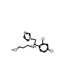 OCCCNC(Cn1ccnc1)c1ccc(Cl)cc1Cl